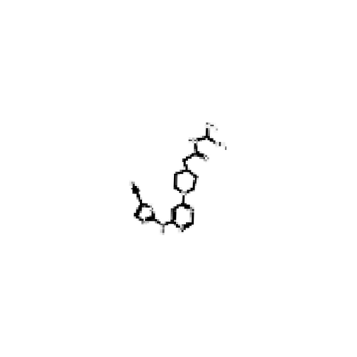 CC(C)NC(=O)CC1CCN(c2cc(Nc3ncc(C#N)s3)ncn2)CC1